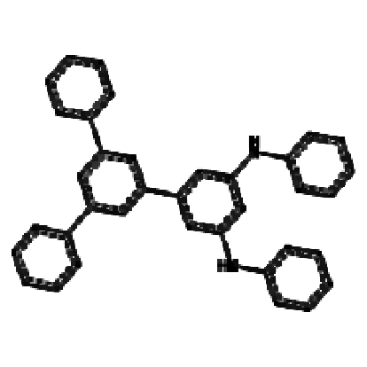 c1ccc(Nc2cc(Nc3ccccc3)cc(-c3cc(-c4ccccc4)cc(-c4ccccc4)c3)c2)cc1